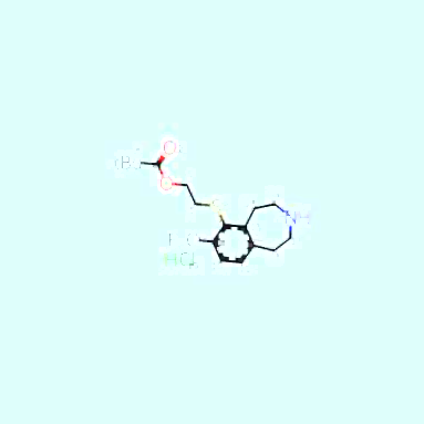 CC(C)(C)C(=O)OCCSc1c(C(F)(F)F)ccc2c1CCNCC2.Cl